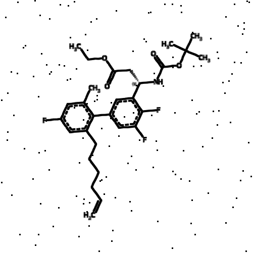 C=CCCCCc1cc(F)cc(C)c1-c1cc(F)c(F)c([C@H](CC(=O)OCC)NC(=O)OC(C)(C)C)c1